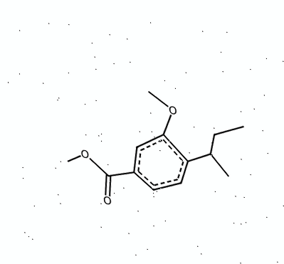 CCC(C)c1ccc(C(=O)OC)cc1OC